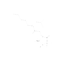 CCCCCNC(=O)[C@H](CC(C)C)N1C(=O)[C@H]2O[C@@H]2C1=O